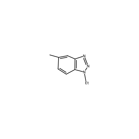 CCn1nnc2cc(C)ccc21